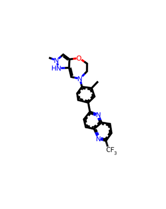 Cc1cc(-c2ccc3nc(C(F)(F)F)ccc3n2)ccc1N1C=C2NN(C)C=C2OCC1